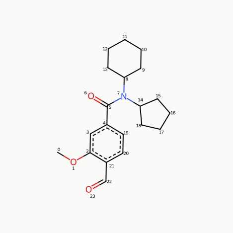 COc1cc(C(=O)N(C2CCCCC2)C2CCCC2)ccc1C=O